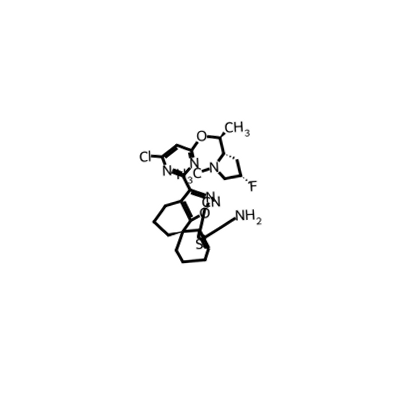 C[C@H](Oc1cc(Cl)nc(-c2noc3c2CCC[C@@]32CCCc3sc(N)c(C#N)c32)n1)[C@@H]1C[C@H](F)CN1C